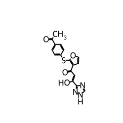 CC(=O)c1ccc(Sc2occc2C(=O)C=C(O)c2nc[nH]n2)cc1